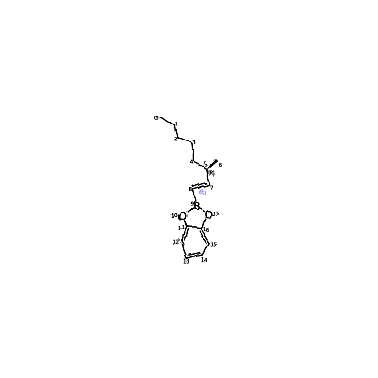 CCCCC[C@@H](C)/C=C/B1Oc2ccccc2O1